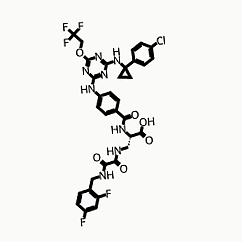 O=C(NCc1ccc(F)cc1F)C(=O)NC[C@H](NC(=O)c1ccc(Nc2nc(NC3(c4ccc(Cl)cc4)CC3)nc(OCC(F)(F)F)n2)cc1)C(=O)O